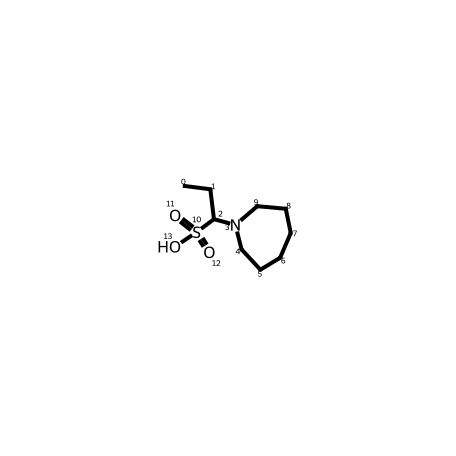 CCC(N1CCCCCC1)S(=O)(=O)O